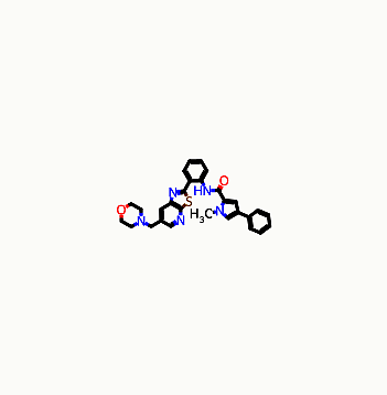 Cn1cc(-c2ccccc2)cc1C(=O)Nc1ccccc1-c1nc2cc(CN3CCOCC3)cnc2s1